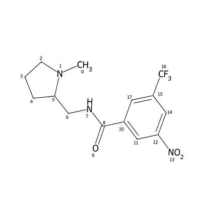 CN1CCCC1CNC(=O)c1cc([N+](=O)[O-])cc(C(F)(F)F)c1